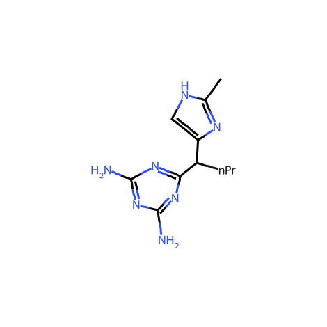 CCCC(c1c[nH]c(C)n1)c1nc(N)nc(N)n1